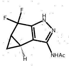 CC(=O)Nc1n[nH]c2c1[C@H]1CC1C2(F)F